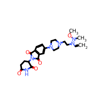 C=CN(CCN1CCN(c2ccc3c(c2)C(=O)N(C2CCC(=O)NC2=O)C3=O)CC1)N(C)OC